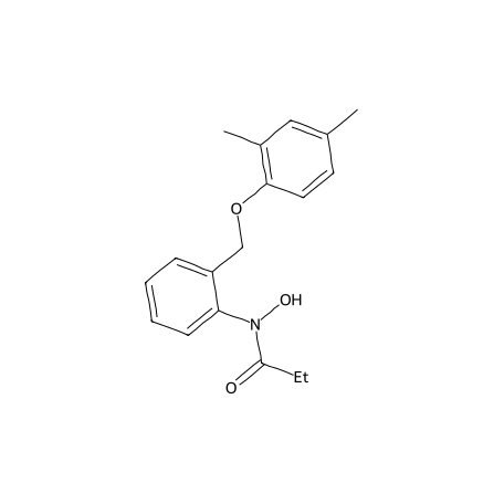 CCC(=O)N(O)c1ccccc1COc1ccc(C)cc1C